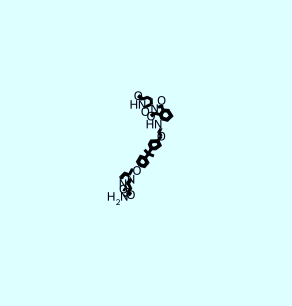 CC(C)(c1ccc(OCCNc2cccc3c2C(=O)N(C2CCC(=O)NC2=O)C3=O)cc1)c1ccc(OCc2ccnc(CS(N)(=O)=O)n2)cc1